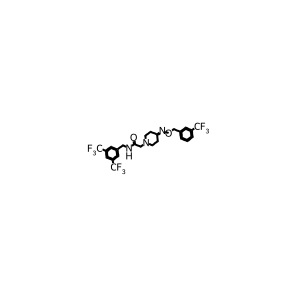 O=C(CN1CCC(=NOCc2cccc(C(F)(F)F)c2)CC1)NCc1cc(C(F)(F)F)cc(C(F)(F)F)c1